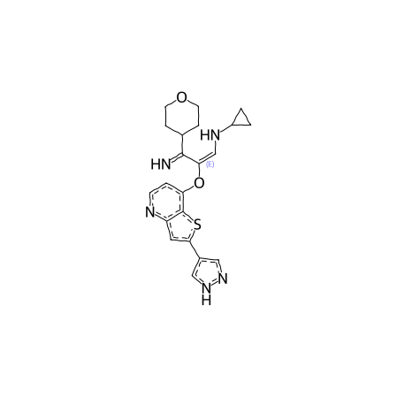 N=C(/C(=C\NC1CC1)Oc1ccnc2cc(-c3cn[nH]c3)sc12)C1CCOCC1